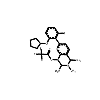 CN1C(N)c2ccc(-c3c(F)cccc3OC3CCCC3)nc2N(OC(=O)C(F)(F)F)C1N